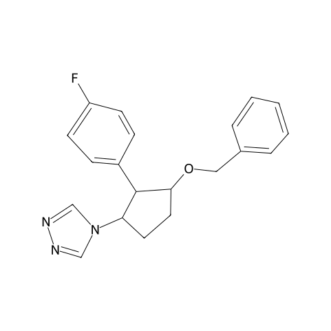 Fc1ccc(C2C(OCc3ccccc3)CCC2n2cnnc2)cc1